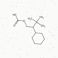 CC(C)(C)C(COC(=O)O)C1CCCCC1